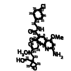 COc1cc(N)nc2c1cc(C(=O)NCc1ccc(Cl)cc1)c(=O)n2CC(=O)N(C)CC1(CO)COC1